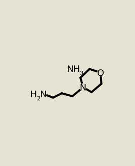 N.NCCCN1CCOCC1